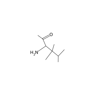 CC(=O)C(N)C(C)(C)C(C)C